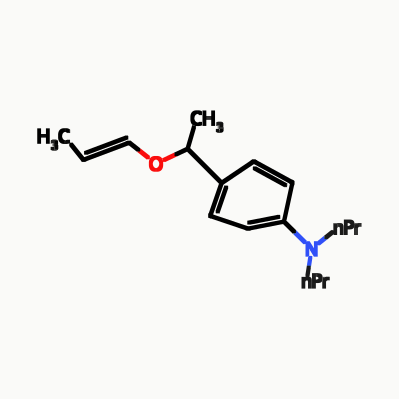 CC=COC(C)c1ccc(N(CCC)CCC)cc1